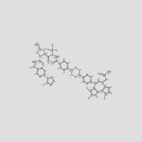 Cc1ncsc1-c1ccc(C(C)NC(=O)[C@@H]2C[C@@H](O)CN2C(=O)C(NC(=O)c2cnc(N3CCN(c4ccc(C5=N[C@@H](CC(=O)O)c6nnc(C)n6-c6sc(C)c(C)c65)cc4)CC3)cn2)C(C)(C)C)cc1